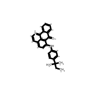 CCC(C)(C)c1ccc(Nc2ccc3ccnc4c3c2C(=O)c2ccccc2-4)cc1